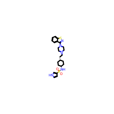 O=S(=O)(N[C@H]1CC[C@@H](CCN2CCN(c3nsc4ccccc34)CC2)CC1)c1cc[nH]c1